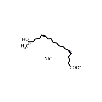 C[C@H](O)CCC/C=C\CCCCCCC/C=C\CCCC(=O)[O-].[Na+]